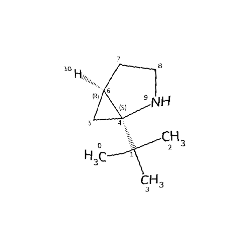 CC(C)(C)[C@]12C[C@H]1CCN2